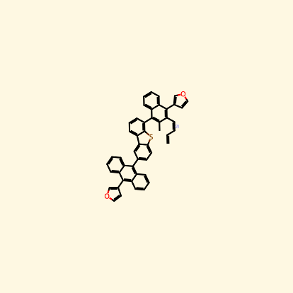 C=C/C=C\c1c(C)c(-c2cccc3c2sc2ccc(-c4c5ccccc5c(-c5ccoc5)c5ccccc45)cc23)c2ccccc2c1-c1ccoc1